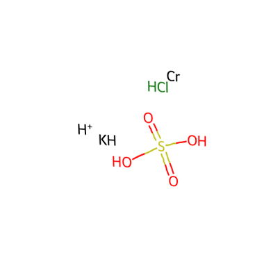 Cl.O=S(=O)(O)O.[Cr].[H+].[KH]